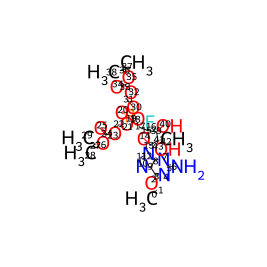 CCOC1=NC(N)=NC2C1N=CN2[C@@H]1O[C@](F)(COP(=O)(OCOC(=O)OC(C)C)OCOC(=O)OC(C)C)[C@@H](O)[C@@]1(C)O